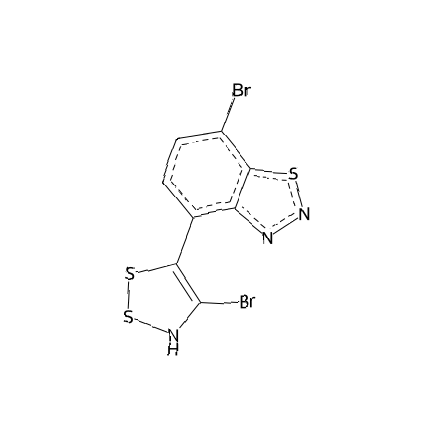 BrC1=C(c2ccc(Br)c3snnc23)SSN1